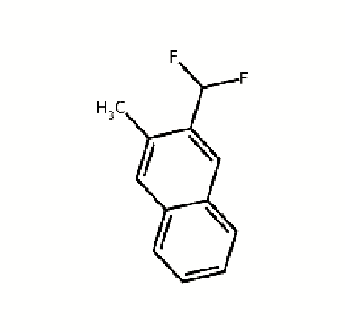 Cc1cc2ccccc2cc1C(F)F